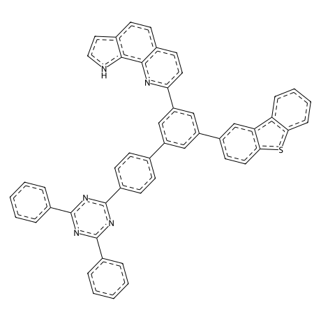 c1ccc(-c2nc(-c3ccccc3)nc(-c3ccc(-c4cc(-c5ccc6sc7ccccc7c6c5)cc(-c5ccc6ccc7cc[nH]c7c6n5)c4)cc3)n2)cc1